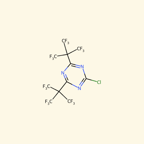 FC(F)(F)C(c1nc(Cl)nc(C(C(F)(F)F)(C(F)(F)F)C(F)(F)F)n1)(C(F)(F)F)C(F)(F)F